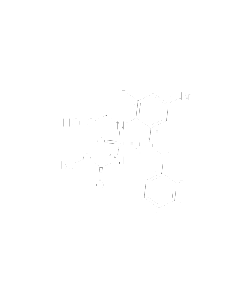 CC(C)(C)OC(=O)NS(=O)(=O)N(CC(=O)O)c1c(F)cc(Br)cc1OCc1ccccc1